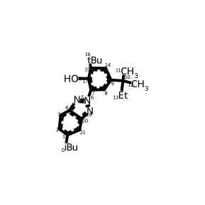 CCC(C)c1ccc2nn(-c3cc(C(C)(C)CC)cc(C(C)(C)C)c3O)nc2c1